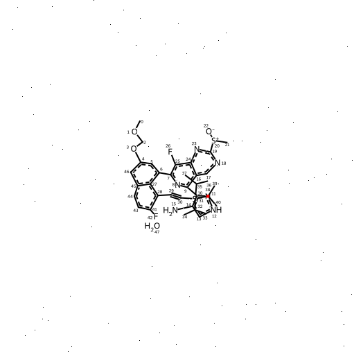 COCOc1cc(-c2nc(-c3n[nH]cc3N)c3cnc([S+](C)[O-])nc3c2F)c2c(C#C[Si](C(C)C)(C(C)C)C(C)C)c(F)ccc2c1.O